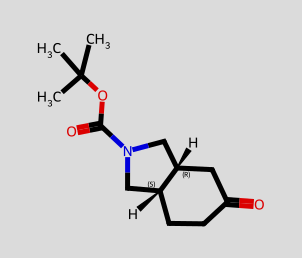 CC(C)(C)OC(=O)N1C[C@H]2CCC(=O)C[C@H]2C1